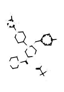 Nc1nnc(N2CCC(N3C[C@H](C(=O)N4CCOCC4)OC[C@@H]3Cc3ccc(Cl)cc3)CC2)[nH]1.O=C(O)C(F)(F)F